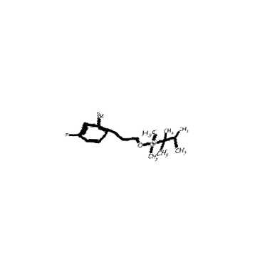 CC(C)C(C)(C)[Si](C)(C)OCCCc1ccc(F)cc1Br